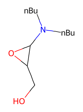 CCCCN(CCCC)C1OC1CO